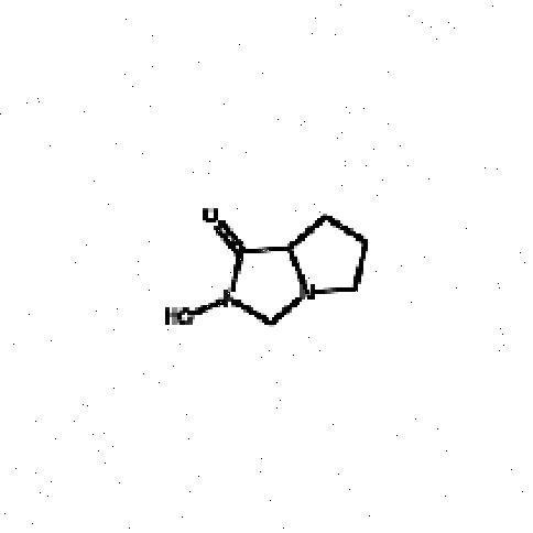 O=C1C2CCCN2CN1O